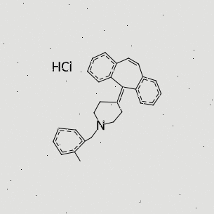 Cc1ccccc1CN1CCC(=C2c3ccccc3C=Cc3ccccc32)CC1.Cl